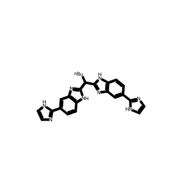 CCCCC(c1nc2cc(-c3ncc[nH]3)ccc2[nH]1)c1nc2cc(-c3ncc[nH]3)ccc2[nH]1